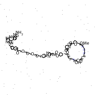 CO[C@H]1CC2CCCC(O2)C(=O)C(=O)N2CCCC[C@H]2C(=O)O[C@H](CC[C@H]2CC[C@H](OC(=O)NCc3cnc(N4CCN(CCOCCOCCOCCOCCC(=O)N5CCc6cc(Cn7nc(-c8ccc9oc(N)nc9c8)c8c(N)ncnc87)ccc6C5)CC4)nc3)CC2)CC[C@H](C)/C=C(\C)[C@@H](O)CC(=O)[C@H](C)C[C@H](C)/C=C/C=C/C=C/1C